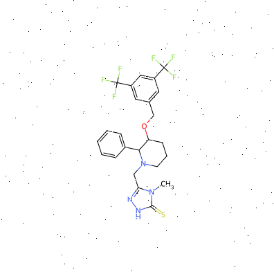 Cn1c(CN2CCCC(OCc3cc(C(F)(F)F)cc(C(F)(F)F)c3)C2c2ccccc2)n[nH]c1=S